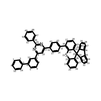 c1ccc(-c2cccc(-c3cc(-c4ccc(-c5cccc6c5Sc5ccccc5C65c6ccccc6-c6ccccc65)cc4)nc(-c4ccccc4)n3)c2)cc1